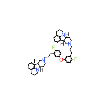 Fc1ccc(Oc2ccc(F)c(CCCN3CC[C@H]4[C@@H](C3)c3cccc5c3N4CCC5)c2)cc1CCCN1CC[C@H]2[C@@H](C1)c1cccc3c1N2CCC3